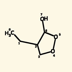 CCC1COOC1O